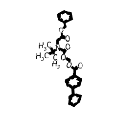 CC(C)(C)N(CC(=O)OCc1ccccc1)C(=O)OCOC(=O)c1ccc(-c2ccccc2)cc1